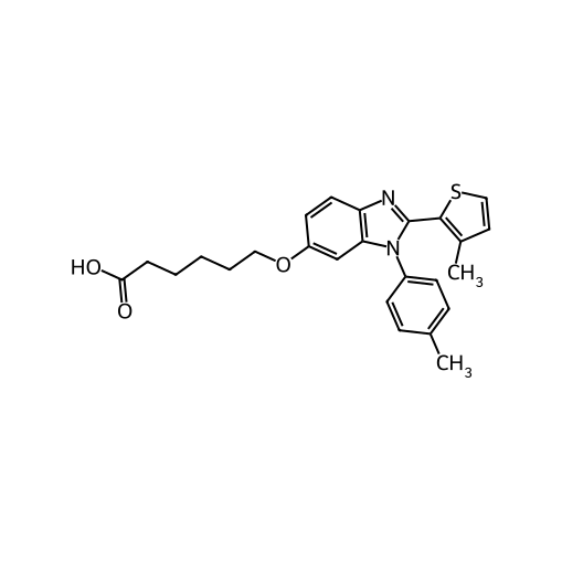 Cc1ccc(-n2c(-c3sccc3C)nc3ccc(OCCCCCC(=O)O)cc32)cc1